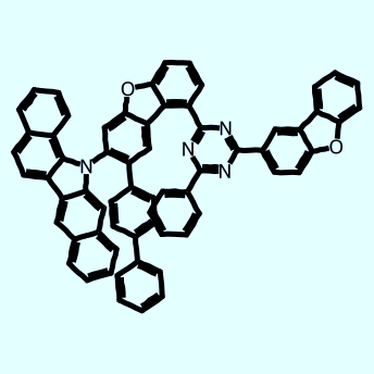 c1ccc(-c2ccc(-c3cc4c(cc3-n3c5cc6ccccc6cc5c5ccc6ccccc6c53)oc3cccc(-c5nc(-c6ccccc6)nc(-c6ccc7oc8ccccc8c7c6)n5)c34)cc2)cc1